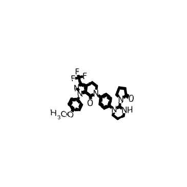 COc1ccc(-n2nc(C(F)(F)F)c3c2C(=O)N(c2ccc(N4CCCNC4N4CCCC4=O)cc2)CC3)cc1